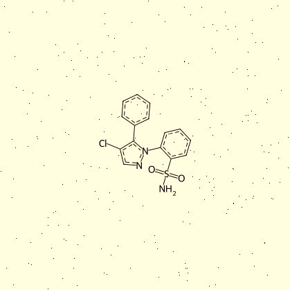 NS(=O)(=O)c1ccccc1-n1ncc(Cl)c1-c1ccccc1